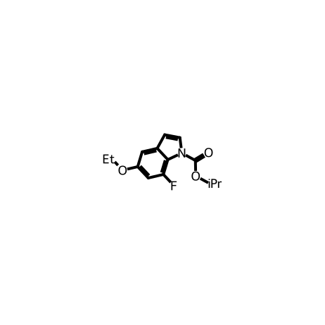 CCOc1cc(F)c2c(ccn2C(=O)OC(C)C)c1